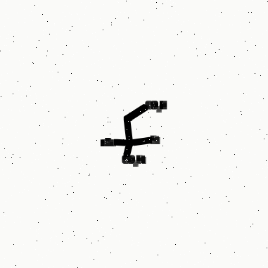 CCCCC(CC)(CC(=O)O)C(=O)OCC